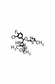 Cc1cnc(COC(c2ccc(F)c(Cl)c2)c2nc(S(C)(=O)=O)c(C)[nH]2)s1